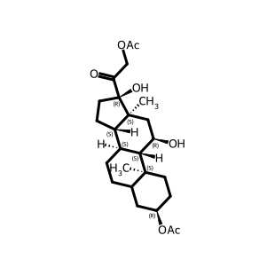 CC(=O)OCC(=O)[C@@]1(O)CC[C@H]2[C@@H]3CCC4C[C@H](OC(C)=O)CC[C@]4(C)[C@H]3[C@H](O)C[C@@]21C